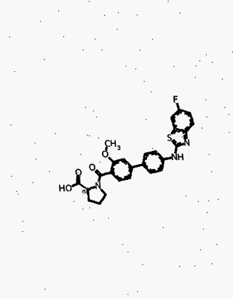 COc1cc(-c2ccc(Nc3nc4ccc(F)cc4s3)cc2)ccc1C(=O)N1CCC[C@H]1C(=O)O